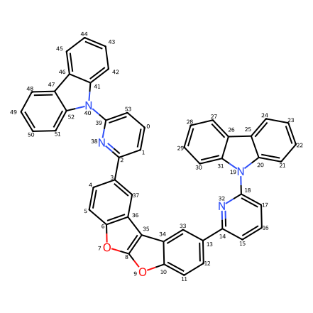 c1cc(-c2ccc3oc4oc5ccc(-c6cccc(-n7c8ccccc8c8ccccc87)n6)cc5c4c3c2)nc(-n2c3ccccc3c3ccccc32)c1